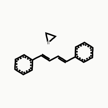 C(C=Cc1ccccc1)=Cc1ccccc1.[CH2]1[CH2][Ti]1